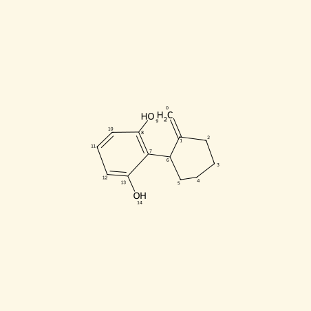 C=C1CCCCC1c1c(O)cccc1O